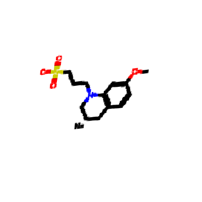 COc1ccc2c(c1)N(CCCS(=O)(=O)[O-])CCC2.[Na+]